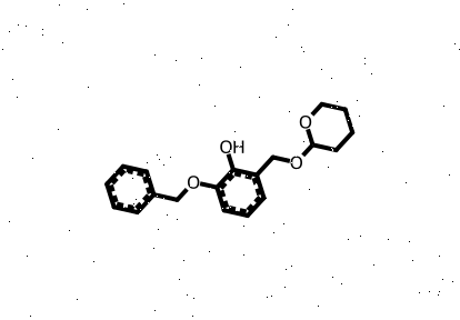 Oc1c(COC2CCCCO2)cccc1OCc1ccccc1